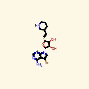 Nc1ncnc2c1c(Br)cn2[C@@H]1O[C@H](/C=C/C2CCCNC2)[C@@H](O)[C@H]1O